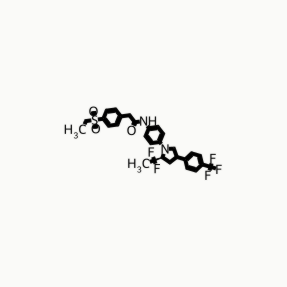 CCS(=O)(=O)c1ccc(CC(=O)Nc2ccc(N3CC(c4ccc(C(F)(F)F)cc4)C[C@H]3C(C)(F)F)cc2)cc1